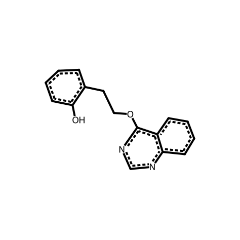 Oc1ccccc1CCOc1ncnc2ccccc12